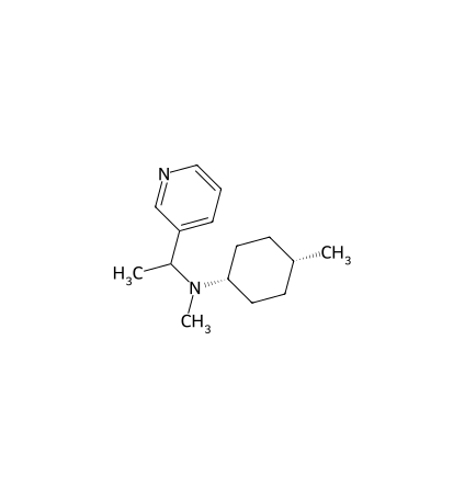 CC(c1cccnc1)N(C)[C@H]1CC[C@@H](C)CC1